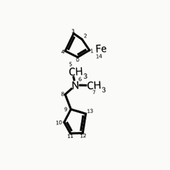 C1=CCC=C1.CN(C)CC1C=CC=C1.[Fe]